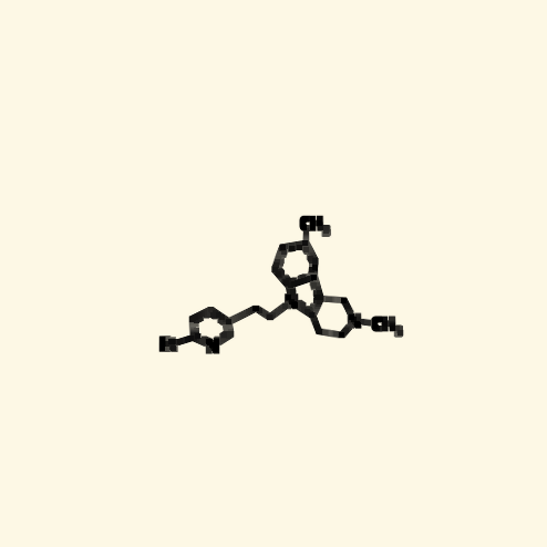 CCc1ccc(CCn2c3c(c4cc(C)ccc42)CN(C)CC3)cn1